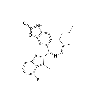 CCCC1C(C)=NN=C(c2sc3cccc(F)c3c2C)c2cc3oc(=O)[nH]c3cc21